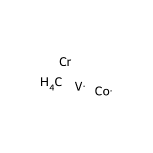 C.[Co].[Cr].[V]